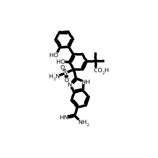 CC(C)(C(=O)O)C1=CC(c2nc3cc(C(=N)N)ccc3[nH]2)(S(N)(=O)=O)C(O)=C(c2ccccc2O)C1